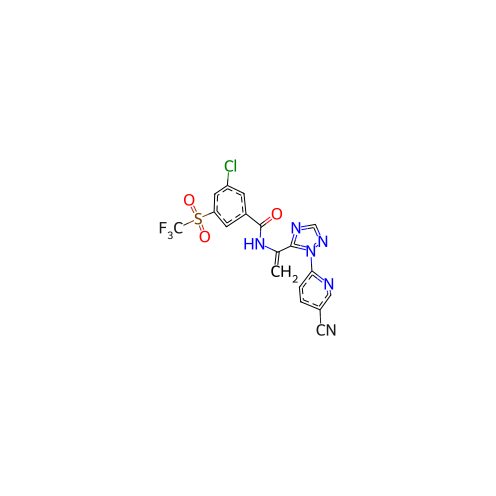 C=C(NC(=O)c1cc(Cl)cc(S(=O)(=O)C(F)(F)F)c1)c1ncnn1-c1ccc(C#N)cn1